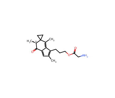 CC1=C(CCCOC(=O)CN)C2=C(C)C3(CC3)[C@H](C)C(=O)C2=C1